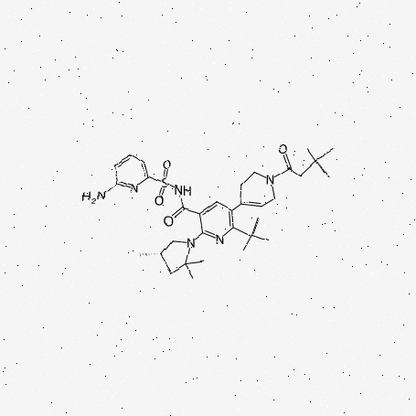 C[C@@H]1CN(c2nc(C(C)(C)C)c(C3=CCN(C(=O)CC(C)(C)C)CC3)cc2C(=O)NS(=O)(=O)c2cccc(N)n2)C(C)(C)C1